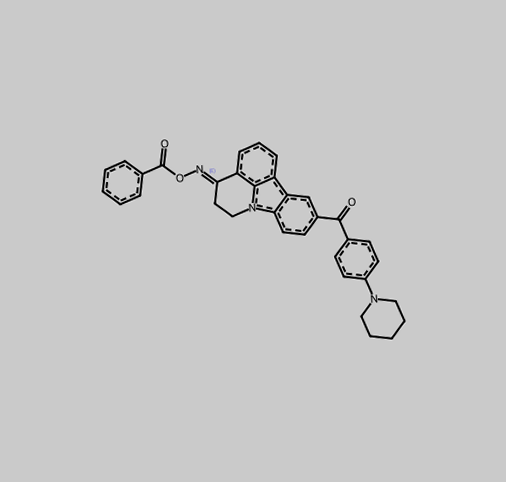 O=C(O/N=C1\CCn2c3ccc(C(=O)c4ccc(N5CCCCC5)cc4)cc3c3cccc1c32)c1ccccc1